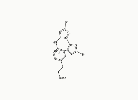 CCCCCCCCCCCCc1ccc(Nc2cc(Br)sc2-c2sc(Br)cc2C(=O)O)cc1